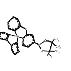 CC1(C)OB(c2ccc3c(c2)Oc2ccccc2[Si]32c3ccccc3-c3ccccc32)OC1(C)C